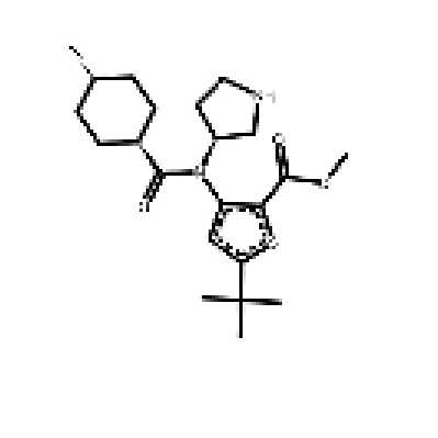 COC(=O)c1sc(C(C)(C)C)cc1N(C(=O)[C@H]1CC[C@H](C)CC1)[C@H]1CCNC1